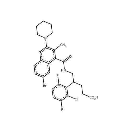 Cc1c(N2CCCCC2)nc2ccc(Br)cc2c1C(=O)NCC(CCC(=O)O)c1c(F)ccc(F)c1Cl